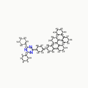 C1=C(c2nc(-c3ccccc3)nc(-c3ccc(-c4ccc(-c5ccccc5-c5ccccc5-c5ccccc5-c5ccccc5)cc4)cc3)n2)CCCC1